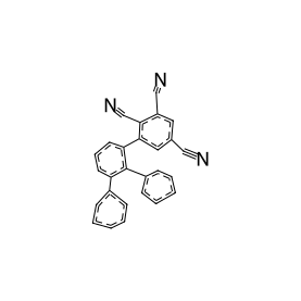 N#Cc1cc(C#N)c(C#N)c(-c2cccc(-c3ccccc3)c2-c2ccccc2)c1